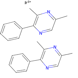 Cc1cnc(-c2ccccc2)c(C)n1.Cc1cnc(-c2ccccc2)c(C)n1.[Ir+3]